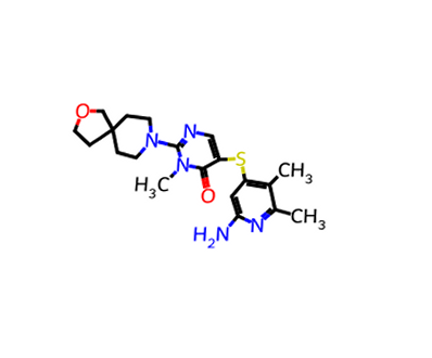 Cc1nc(N)cc(Sc2cnc(N3CCC4(CCOC4)CC3)n(C)c2=O)c1C